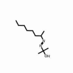 CCCCCCC(C)/N=N/C(C)(C)O